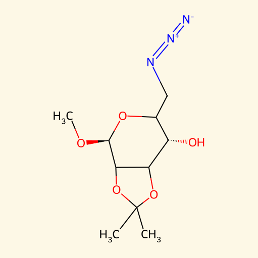 CO[C@H]1OC(CN=[N+]=[N-])[C@H](O)C2OC(C)(C)OC21